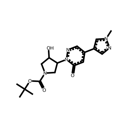 Cn1cc(-c2cnn(C3CN(C(=O)OC(C)(C)C)CC3O)c(=O)c2)cn1